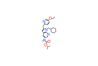 CCOc1ccc(Cc2cc3cc(N(C)C(=O)OC(C)C)cnc3n2CC2CCCCC2)nc1